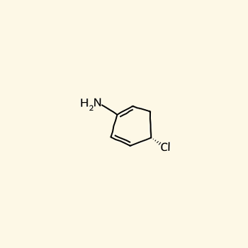 NC1=CC[C@H](Cl)C=C1